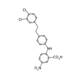 O=C(O)c1cc([N+](=O)[O-])ccc1Nc1ccc(CCc2ccc(Cl)c(Cl)c2)cc1